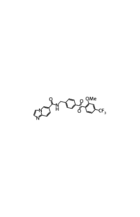 COc1cc(C(F)(F)F)ccc1S(=O)(=O)c1ccc(CNC(=O)c2ccc3nccn3c2)cc1